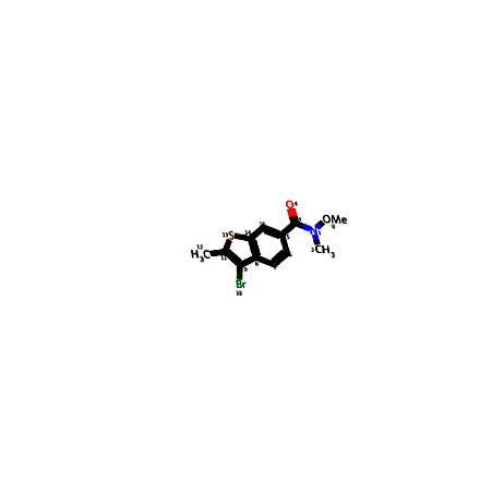 CON(C)C(=O)c1ccc2c(Br)c(C)sc2c1